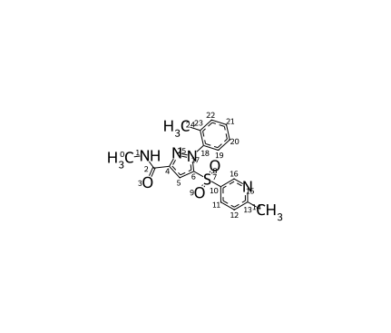 CNC(=O)c1cc(S(=O)(=O)c2ccc(C)nc2)n(-c2ccccc2C)n1